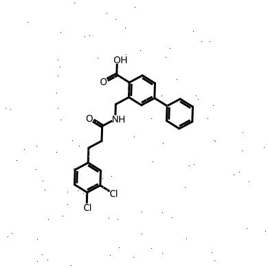 O=C(CCc1ccc(Cl)c(Cl)c1)NCc1cc(-c2ccccc2)ccc1C(=O)O